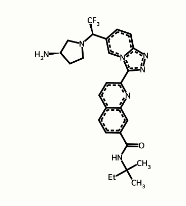 CCC(C)(C)NC(=O)c1ccc2ccc(-c3nnc4ccc([C@@H](N5CC[C@@H](N)C5)C(F)(F)F)cn34)nc2c1